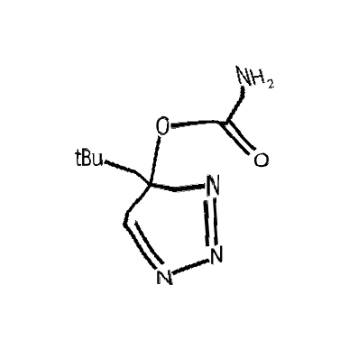 CC(C)(C)C1(OC(N)=O)C=NN=N1